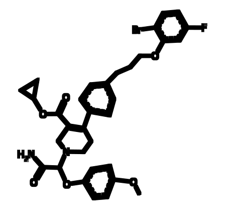 COc1ccc(OC(C(N)=O)N2CCC(c3ccc(CCCOc4cc(F)ccc4Br)cc3)=C(C(=O)OC3CC3)C2)cc1